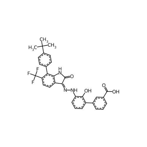 CC(C)(C)c1ccc(-c2c(C(F)(F)F)ccc3c2NC(=O)C3=NNc2cccc(-c3cccc(C(=O)O)c3)c2O)cc1